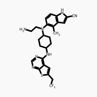 Cc1c(N(CCN)C2CCC(Nc3ncnc4sc(CC(F)(F)F)cc34)CC2)ccc2[nH]c(C#N)cc12